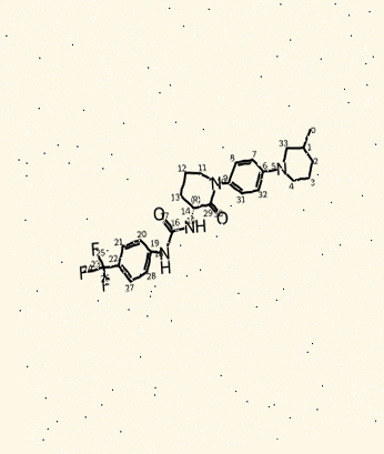 CC1CCCN(c2ccc(N3CCC[C@@H](NC(=O)Nc4ccc(C(F)(F)F)cc4)C3=O)cc2)C1